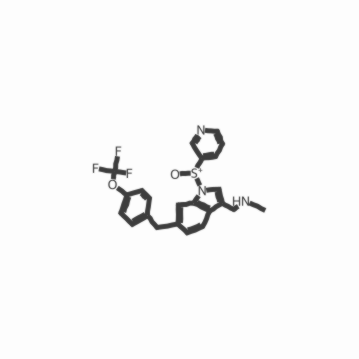 CNCc1cn([S+]([O-])c2cccnc2)c2cc(Cc3ccc(OC(F)(F)F)cc3)ccc12